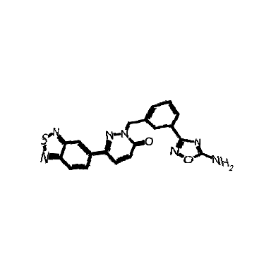 Nc1nc(C2C=CC=C(Cn3nc(-c4ccc5nsnc5c4)ccc3=O)C2)no1